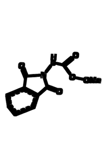 COOC(=O)BN1C(=O)c2ccccc2C1=O